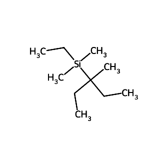 CCC(C)(CC)[Si](C)(C)CC